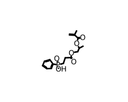 C=C(C)C(=O)OC(C)COC(=O)CCP(=O)(O)c1ccccc1